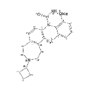 COc1cccc(C)c1N(C(N)=O)c1ccc2c(c1)CCN(C1CCC1)CC2